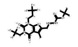 Cc1c(CNNC(=O)OC(C)(C)C)sc2c1c(=O)n(CC(F)(F)F)c(=O)n2CCC(F)(F)F